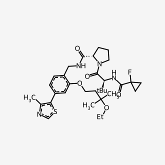 CCOC(C)(C)CCOc1cc(-c2scnc2C)ccc1CNC(=O)[C@@H]1CCCN1C(=O)[C@@H](NC(=O)C1(F)CC1)C(C)(C)C